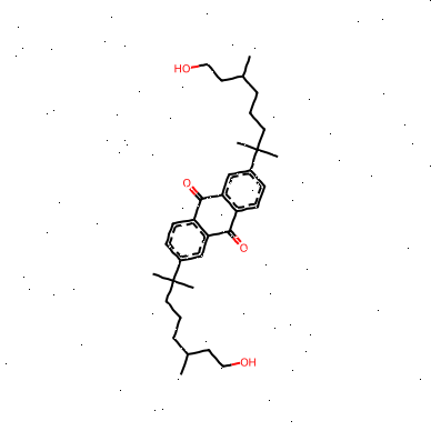 CC(CCO)CCCC(C)(C)c1ccc2c(c1)C(=O)c1ccc(C(C)(C)CCCC(C)CCO)cc1C2=O